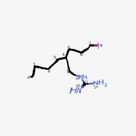 CCCCC(CCCI)CNC(=N)N